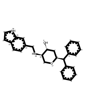 O[C@@H]1C[C@@H](C(c2ccccc2)c2ccccc2)OC[C@H]1NCc1ccc2cc[nH]c2c1